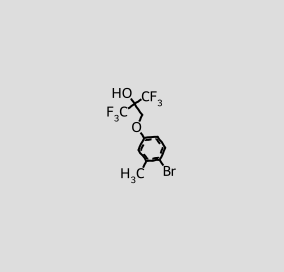 Cc1cc(OCC(O)(C(F)(F)F)C(F)(F)F)ccc1Br